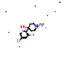 O=C(O)N1CCC(O)(c2ncc(Cl)cc2Cl)CC1